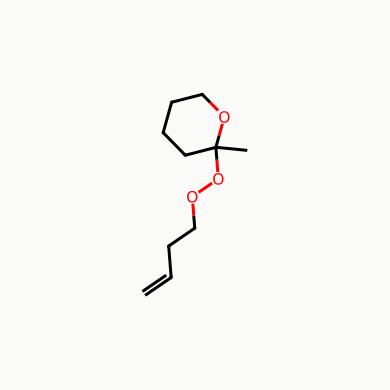 C=CCCOOC1(C)CCCCO1